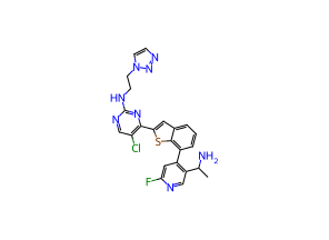 CC(N)c1cnc(F)cc1-c1cccc2cc(-c3nc(NCCn4ccnn4)ncc3Cl)sc12